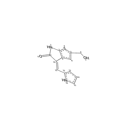 O=C1Nc2sc(CO)cc2/C1=C\c1ccc[nH]1